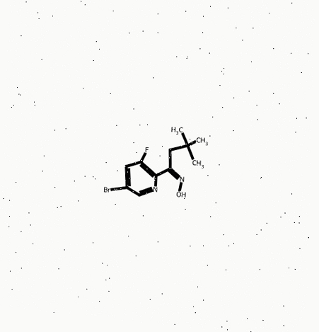 CC(C)(C)C/C(=N/O)c1ncc(Br)cc1F